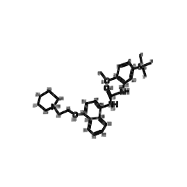 COc1ccc([Si](C)(C)C)cc1NC(=O)Nc1ccc(OCCN2CCCCC2)c2ccccc12